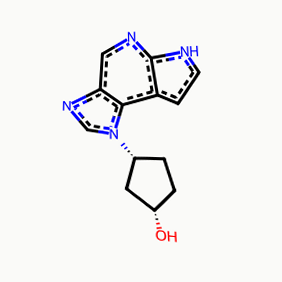 O[C@H]1CC[C@@H](n2cnc3cnc4[nH]ccc4c32)C1